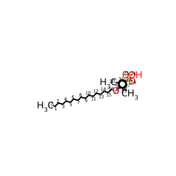 CCCCCCCCCCCCCCCCCOc1c(C)cc(S(=O)(=O)O)cc1C